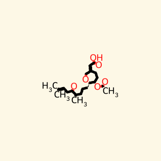 CC(=O)O[C@@H]1CCC(=CC(=O)O)CO[C@H]1CCCC(C)C(=O)CC=C(C)C